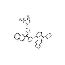 C=C/C=C(\C=C/C)c1ccc(N(c2cccc(-c3cccc4c3c3cc5ccccc5cc3n4-c3ccccc3)c2)c2ccc3ccccc3c2)cc1